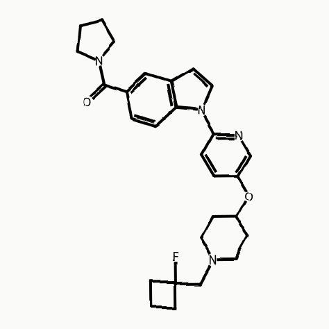 O=C(c1ccc2c(ccn2-c2ccc(OC3CCN(CC4(F)CCC4)CC3)cn2)c1)N1CCCC1